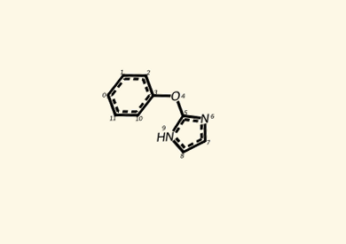 [c]1ccc(Oc2ncc[nH]2)cc1